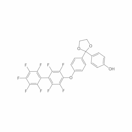 Oc1ccc(C2(c3ccc(Oc4c(F)c(F)c(-c5c(F)c(F)c(F)c(F)c5F)c(F)c4F)cc3)OCCO2)cc1